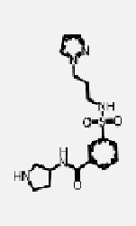 O=C(NC1CCNC1)c1cccc(S(=O)(=O)NCCCn2cccn2)c1